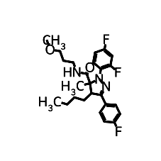 CCCCC1C(c2ccc(F)cc2)=NN(c2ccc(F)cc2F)C1(C)C(=O)NCCCOC